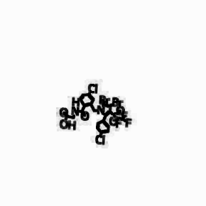 O=C(O)CNC(=O)c1ccc(Cl)cc1Cn1c(Br)c(Br)c(S(=O)(=O)C(F)(F)F)c1-c1ccc(Cl)cc1